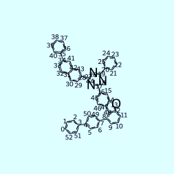 c1ccc(-c2ccc(-c3cccc4oc5cc(-c6nc(-c7ccccc7)nc(-c7ccc8ccc(-c9ccccc9)cc8c7)n6)ccc5c34)cc2)cc1